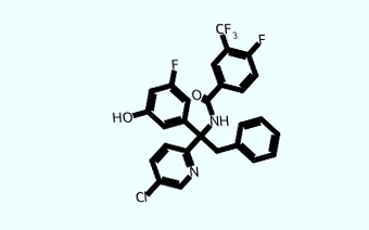 O=C(NC(Cc1ccccc1)(c1cc(O)cc(F)c1)c1ccc(Cl)cn1)c1ccc(F)c(C(F)(F)F)c1